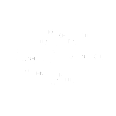 Cc1cc(C)nc(Oc2c(-c3cn(C)c(=O)c4[nH]c(C(=O)NC5CC5)cc34)sc(C(C)(C)O)c2F)c1